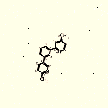 Cc1ccnc(-c2cccc(-c3ccc(C)nc3)c2)c1